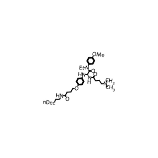 CCCCCCCCCCCCNC(=O)CCCOc1ccc(NC(NC(=O)CCCN(C)C)C(=O)N(CC)c2ccc(OC)cc2)cc1